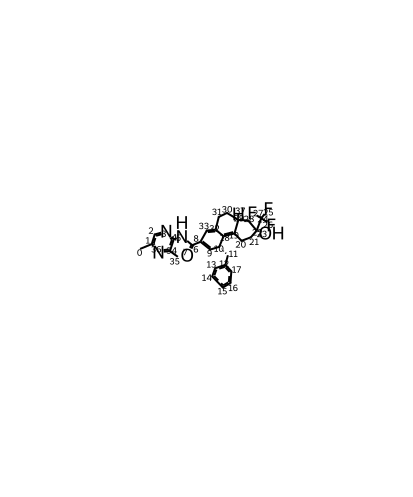 Cc1cnc(NC(=O)C2=C[C@@H](Cc3ccccc3)C3=C4CC[C@](O)(C(F)(F)F)C[C@H]4CCC3=C2)c(C)n1